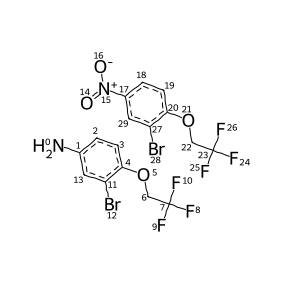 Nc1ccc(OCC(F)(F)F)c(Br)c1.O=[N+]([O-])c1ccc(OCC(F)(F)F)c(Br)c1